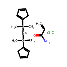 C=CC(N)=O.C[Si](C)([Zr+2][Si](C)(C)C1=CC=CC1)C1=CC=CC1.[Cl-].[Cl-]